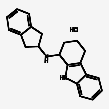 Cl.c1ccc2c(c1)CC(NC1CCCc3c1[nH]c1ccccc31)C2